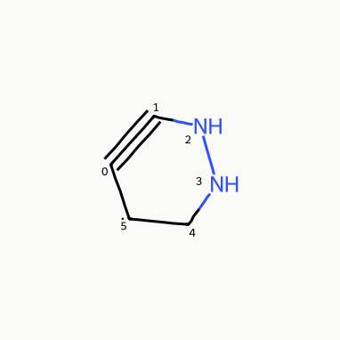 C1#CNNC[CH]1